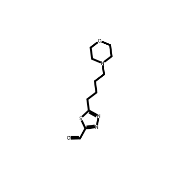 O=Cc1nnc(CCCCN2CCOCC2)s1